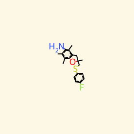 Cc1c(C)c2c(c(C)c1N)CC(C)(CSc1ccc(F)cc1)O2